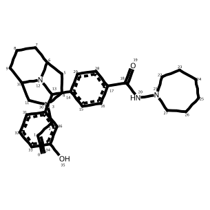 C=CCN1CCC2CCCC(C1)N2C(c1ccc(C(=O)NN2CCCCCC2)cc1)c1cccc(O)c1